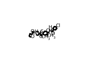 CC1=CC(C)(S(=O)(=O)N2CCN(C(=O)c3ccco3)CC2)C(C)=CC1(C)CNC(=O)c1ccc(Cl)cc1